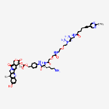 CCc1c2c(nc3ccc(O)cc13)-c1cc3c(c(=O)n1C2)COC(=O)[C@@]3(CC)OC(=O)OCc1ccc(NC(=O)[C@H](CCCCN)NC(=O)COCC(=O)NCCOCCN(N)/C=C(\N)CNC(=O)CCCC#Cc2cnc(SC)nc2)cc1